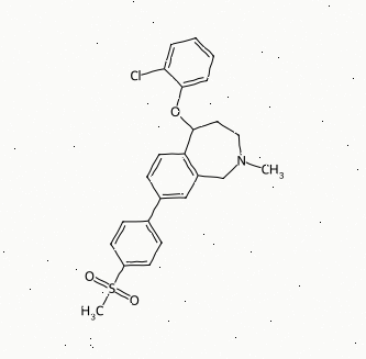 CN1CCC(Oc2ccccc2Cl)c2ccc(-c3ccc(S(C)(=O)=O)cc3)cc2C1